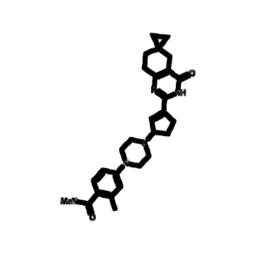 CNC(=O)c1ccc(N2CCN(C3C=C(c4nc5c(c(=O)[nH]4)CC4(CC5)CC4)CC3)CC2)cc1C